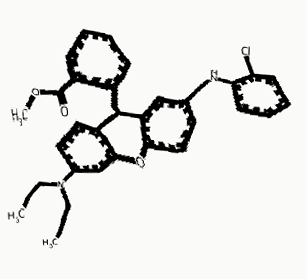 CCN(CC)c1ccc2c(c1)Oc1ccc(Nc3ccccc3Cl)cc1C2c1ccccc1C(=O)OC